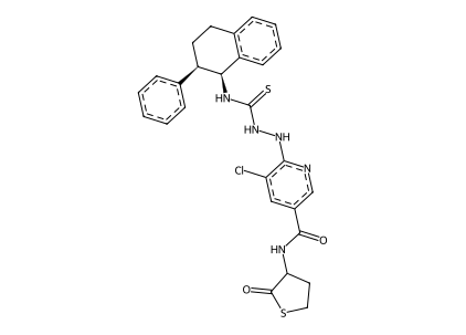 O=C(NC1CCSC1=O)c1cnc(NNC(=S)N[C@@H]2c3ccccc3CC[C@@H]2c2ccccc2)c(Cl)c1